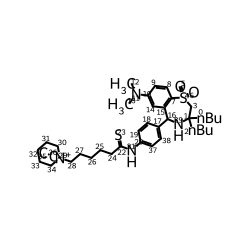 CCCCC1(CCCC)CS(=O)(=O)c2ccc(N(C)C)cc2C(c2ccc(NC(=S)CCCCC[N+]34CCC(CC3)CC4)cc2)N1